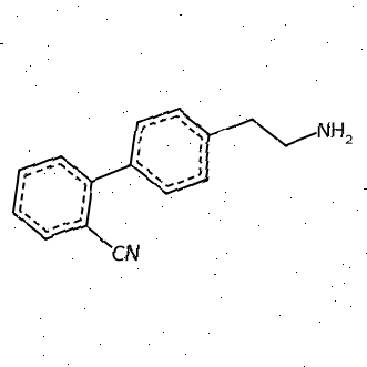 N#Cc1ccccc1-c1ccc(CCN)cc1